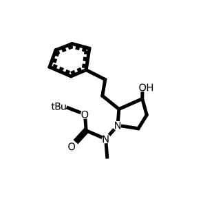 CN(C(=O)OC(C)(C)C)N1CCC(O)C1CCc1ccccc1